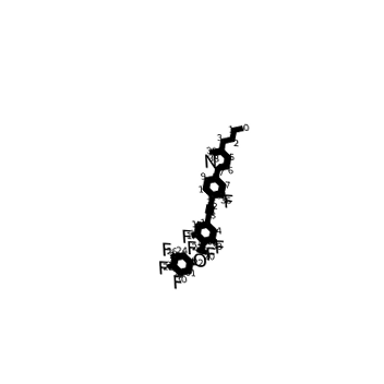 CCCCc1ccc(-c2ccc(C#Cc3cc(F)c(C(F)(F)Oc4cc(F)c(F)c(F)c4)c(F)c3)c(F)c2)nc1